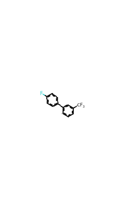 Fc1ccc(-c2[c]ccc(C(F)(F)F)c2)cc1